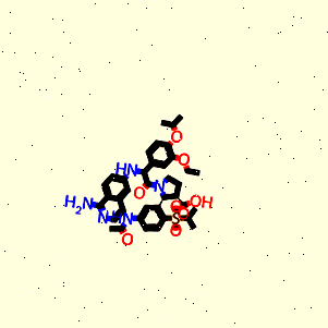 CCOc1cc(C(Nc2ccc3c(N)nccc3c2)C(=O)N2CC[C@H](C(=O)O)[C@@H]2c2cc(NC(C)=O)ccc2S(=O)(=O)C(C)C)ccc1OC(C)C